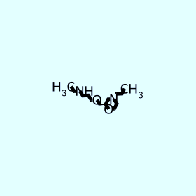 CCCN1CCO[C@@H](COCCCNCC)C1